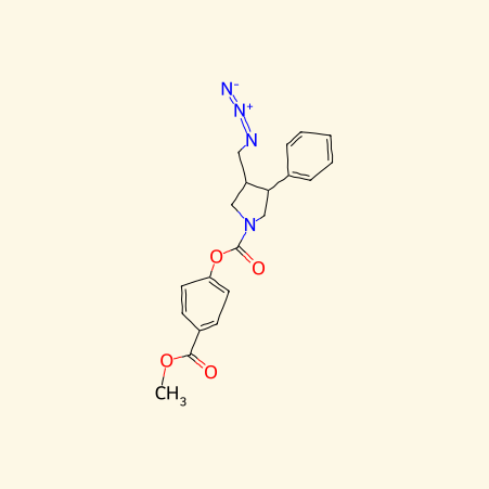 COC(=O)c1ccc(OC(=O)N2CC(CN=[N+]=[N-])C(c3ccccc3)C2)cc1